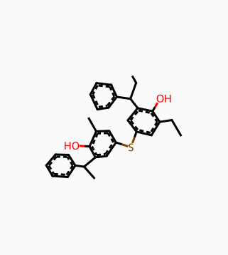 CCc1cc(Sc2cc(C)c(O)c(C(C)c3ccccc3)c2)cc(C(CC)c2ccccc2)c1O